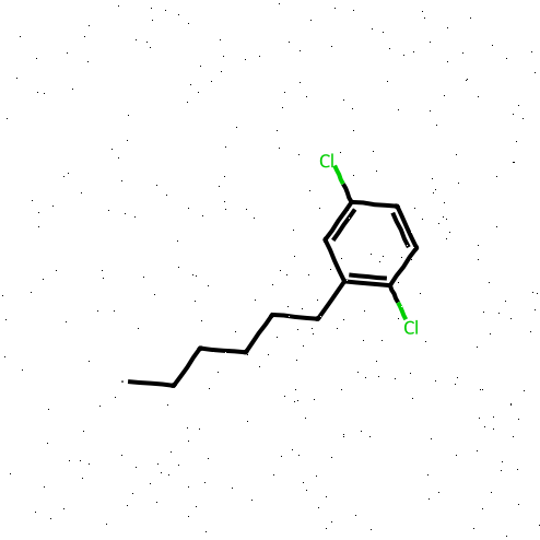 [CH2]CCCCCc1cc(Cl)ccc1Cl